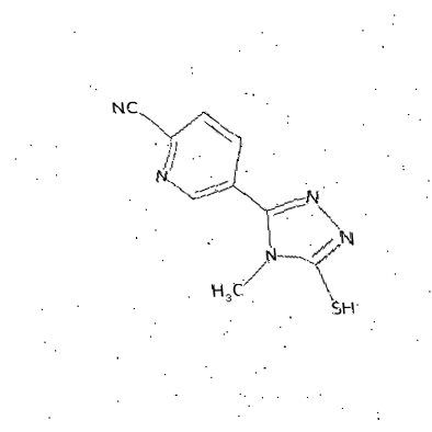 Cn1c(S)nnc1-c1ccc(C#N)nc1